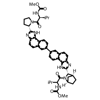 COC(=O)NC(C(=O)N1[C@@H]2CC[C@@H](C2)[C@H]1c1nc2ccc3cc(-c4ccc5c(ccc6nc([C@@H]7CCCN7C(=O)[C@@H](NC(=O)OC)C(C)C)[nH]c65)c4)ccc3c2[nH]1)C(C)C